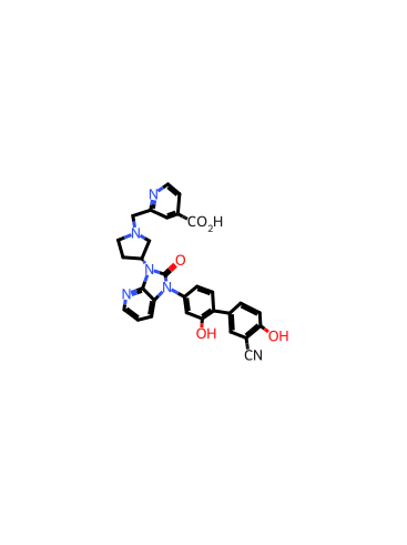 N#Cc1cc(-c2ccc(-n3c(=O)n([C@H]4CCN(Cc5cc(C(=O)O)ccn5)C4)c4ncccc43)cc2O)ccc1O